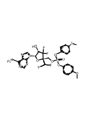 COc1ccc(OP(=O)(OC[C@@]2(C(F)F)O[C@@H](n3cnc4c(N)ncnc43)[C@@H](O)C2(F)F)Oc2ccc(OC)cc2)cc1